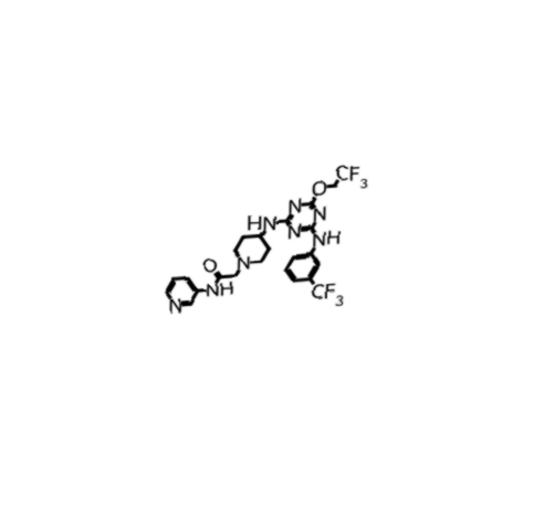 O=C(CN1CCC(Nc2nc(Nc3cccc(C(F)(F)F)c3)nc(OCC(F)(F)F)n2)CC1)Nc1cccnc1